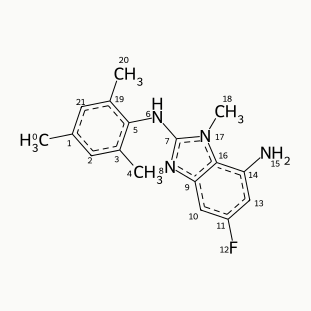 Cc1cc(C)c(Nc2nc3cc(F)cc(N)c3n2C)c(C)c1